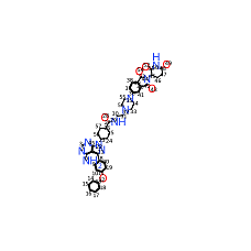 Nc1ncnc2c1c(-c1ccc(Oc3ccccc3)cc1)nn2C1CCC(C(=O)NCCN2CCN(c3ccc4c(c3)C(=O)N(C3CCC(=O)NC3=O)C4=O)CC2)CC1